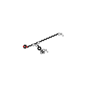 CCCCCCCCCCCCCCCCOCC(COCCCC[N+]12CCC(CC1)CC2)OCc1ccccc1.CS(=O)(=O)[O-]